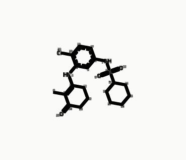 CC1=C(Nc2cc(NS(=O)(=O)C3CCCCC3)ccc2Cl)CCCC1=O